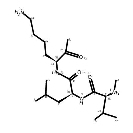 CN[C@H](C(=O)N[C@@H](CC(C)C)C(=O)N[C@@H](CCCCN)C(C)=O)C(C)C